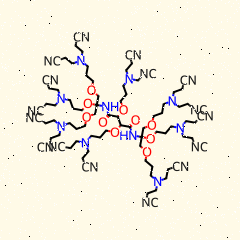 [C-]#[N+]CCN(CCC#N)CCCOCC(COCCCN(CCC#N)CC[N+]#[C-])(NC(=O)C(OCCCN(CCC#N)CCC#N)C(OCCCN(CCC#N)C[N+]#[C-])C(=O)NC(COCCCN(CCC#N)CCC#N)(COCCCN(CCC#N)CCC#N)OCCCN(CCC#N)CCC#N)OCCCN(CCC#N)CC[N+]#[C-]